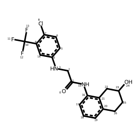 O=C(CNc1ccc(Cl)c(C(F)(F)F)c1)Nc1cccc2c1CC(O)CC2